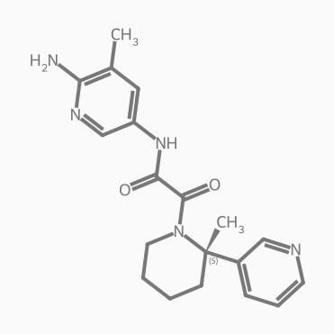 Cc1cc(NC(=O)C(=O)N2CCCC[C@@]2(C)c2cccnc2)cnc1N